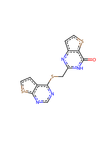 O=c1[nH]c(CSc2ncnc3sccc23)nc2ccsc12